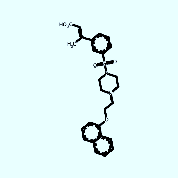 C/C(=C\C(=O)O)c1cccc(S(=O)(=O)N2CCN(CCOc3cccc4ccccc34)CC2)c1